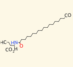 O=[C]CCC(NC(=O)CCCCCCCCCCCCCCCCC(=O)O)C(=O)O